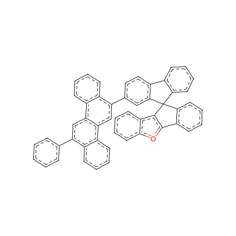 c1ccc(-c2cc3c4ccccc4c(-c4ccc5c(c4)C4(c6ccccc6-5)c5ccccc5-c5oc6ccccc6c54)cc3c3ccccc23)cc1